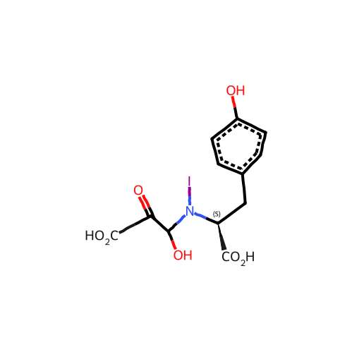 O=C(O)C(=O)C(O)N(I)[C@@H](Cc1ccc(O)cc1)C(=O)O